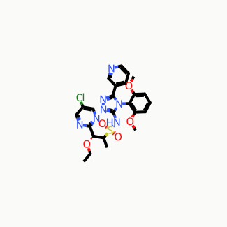 CCO[C@H](c1ncc(Cl)cn1)C(C)S(=O)(=O)Nc1nnc(-c2cccnc2)n1-c1c(OC)cccc1OC